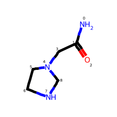 NC(=O)CN1CCNC1